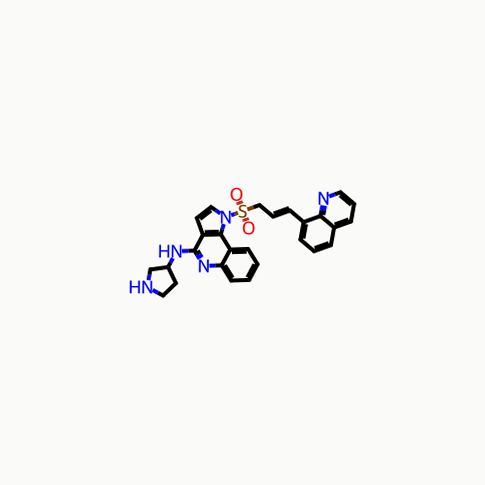 O=S(=O)(CC=Cc1cccc2cccnc12)n1ccc2c(NC3CCNC3)nc3ccccc3c21